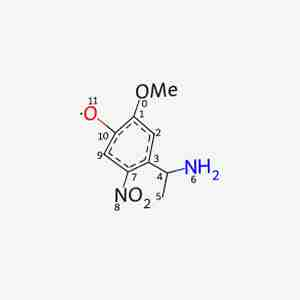 COc1cc(C(C)N)c([N+](=O)[O-])cc1[O]